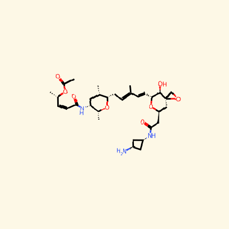 CC(=O)O[C@@H](C)/C=C\C(=O)N[C@@H]1C[C@H](C)[C@H](C/C=C(C)/C=C/[C@H]2O[C@H](CC(=O)N[C@H]3C[C@H](N)C3)C[C@@]3(CO3)[C@@H]2O)O[C@@H]1C